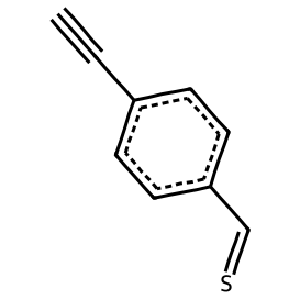 C#Cc1ccc(C=S)cc1